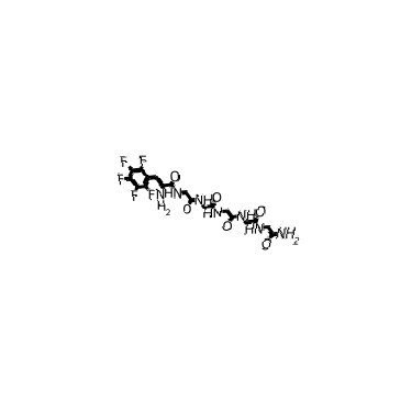 NC(=O)CNC(=O)CNC(=O)CNC(=O)CNC(=O)CNC(=O)C(N)=Cc1c(F)c(F)c(F)c(F)c1F